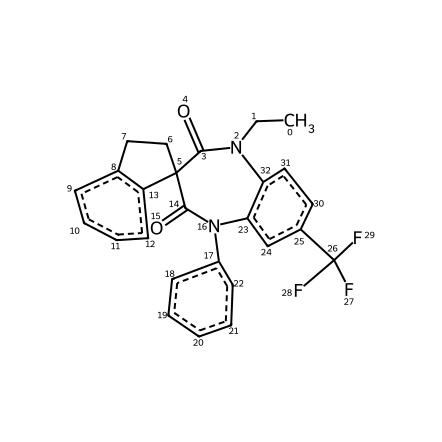 CCN1C(=O)C2(CCc3ccccc32)C(=O)N(c2ccccc2)c2cc(C(F)(F)F)ccc21